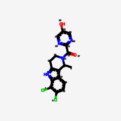 CC1c2c([nH]c3c(Cl)c(Cl)ccc23)CCN1C(=O)c1ncc(O)cn1